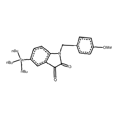 CCC[CH2][Sn]([CH2]CCC)([CH2]CCC)[c]1ccc2c(c1)C(=O)C(=O)N2Cc1ccc(OC)cc1